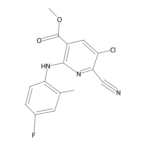 COC(=O)c1cc(Cl)c(C#N)nc1Nc1ccc(F)cc1C